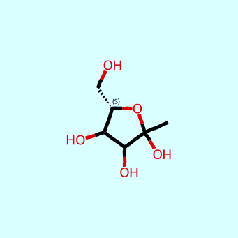 CC1(O)O[C@@H](CO)C(O)C1O